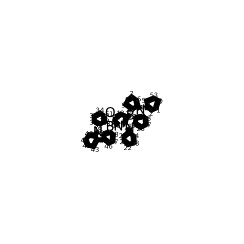 c1ccc(N2c3ccccc3B3c4cc5c(nc4N(c4ccccc4)c4cccc2c43)B2c3c(cccc3-n3c4ccccc4c4cccc2c43)O5)cc1